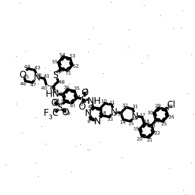 O=S(=O)(Nc1ncnc2c1CCN(C1CCN(Cc3ccccc3-c3ccc(Cl)cc3)CC1)C2)c1ccc(N[C@H](CCN2CCOCC2)CSc2ccccc2)c(S(=O)(=O)C(F)(F)F)c1